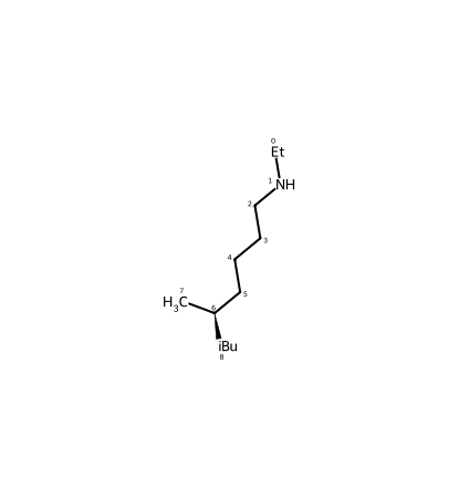 CCNCCCC[C@H](C)C(C)CC